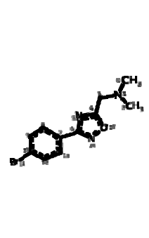 CN(C)Cc1nc(-c2ccc(Br)cc2)no1